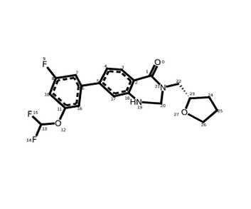 O=C1c2ccc(-c3cc(F)cc(OC(F)F)c3)cc2NCN1C[C@@H]1CCCO1